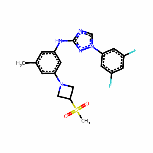 Cc1cc(Nc2ncn(-c3cc(F)cc(F)c3)n2)cc(N2CC(S(C)(=O)=O)C2)c1